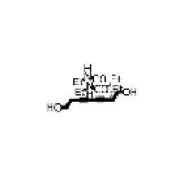 CCNC(=O)OCC.CCNC(=O)OCC.OCCC#CC#CCCO